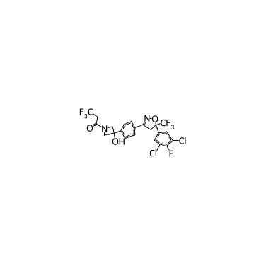 O=C(CC(F)(F)F)N1CC(O)(c2ccc(C3=NOC(c4cc(Cl)c(F)c(Cl)c4)(C(F)(F)F)C3)cc2)C1